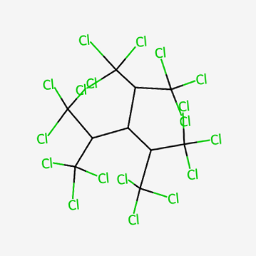 ClC(Cl)(Cl)C(C(C(C(Cl)(Cl)Cl)C(Cl)(Cl)Cl)C(C(Cl)(Cl)Cl)C(Cl)(Cl)Cl)C(Cl)(Cl)Cl